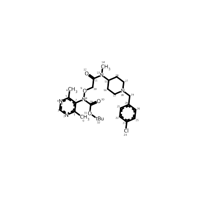 Cc1ncnc(C)c1N(OCC(=O)N(C)C1CCN(Cc2ccc(Cl)cc2)CC1)C(=O)OC(C)(C)C